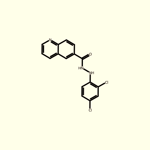 O=C(NNc1ccc(Cl)cc1Cl)c1ccc2ncccc2c1